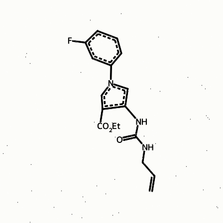 C=CCNC(=O)Nc1cn(-c2cccc(F)c2)cc1C(=O)OCC